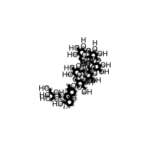 C=C1C[C@@]23CCC4[C@](C)(C(O)OC(C)OC(CO)C(O)C(O)CO)CCC[C@@]4(C)[C@@H]2CC[C@]1(OC1OC(CO)C(O)C(OC2OC(CO)C(OC4OC(CO)C(OC5OC(CO)C(OC6OC(CO)C(O)C(O)C6O)C(O)C5O)C(O)C4O)C(O)C2O)C1OC1OC(CO)C(O)C(O)C1O)C3